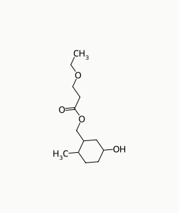 CCOCCC(=O)OCC1CC(O)CCC1C